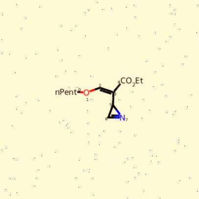 CCCCCO/C=C(/C(=O)OCC)C1C=N1